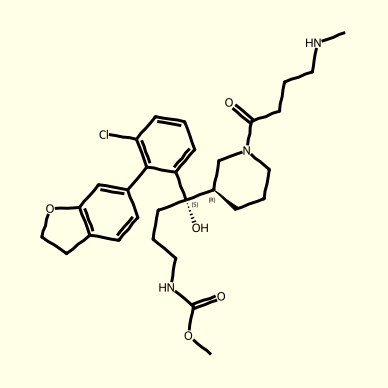 CNCCCC(=O)N1CCC[C@@H]([C@@](O)(CCCNC(=O)OC)c2cccc(Cl)c2-c2ccc3c(c2)OCC3)C1